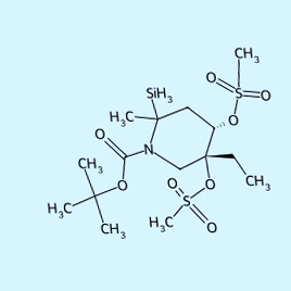 CC[C@@]1(OS(C)(=O)=O)CN(C(=O)OC(C)(C)C)C(C)([SiH3])C[C@@H]1OS(C)(=O)=O